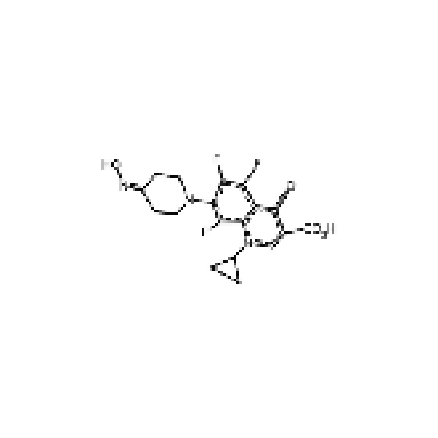 O=C(O)c1cn(C2CC2)c2c(F)c(N3CCC(=NO)CC3)c(F)c(F)c2c1=O